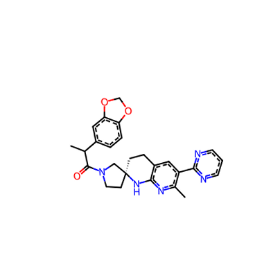 Cc1nc2c(cc1-c1ncccn1)CC[C@@]1(CCN(C(=O)C(C)c3ccc4c(c3)OCO4)C1)N2